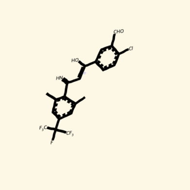 Cc1cc(C(F)(C(F)(F)F)C(F)(F)F)cc(C)c1C(=N)/C=C(\O)c1ccc(Cl)c(C=O)c1